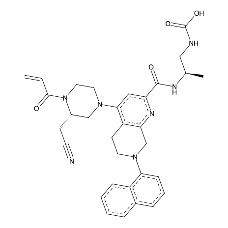 C=CC(=O)N1CCN(c2cc(C(=O)N[C@H](C)CNC(=O)O)nc3c2CCN(c2cccc4ccccc24)C3)C[C@@H]1CC#N